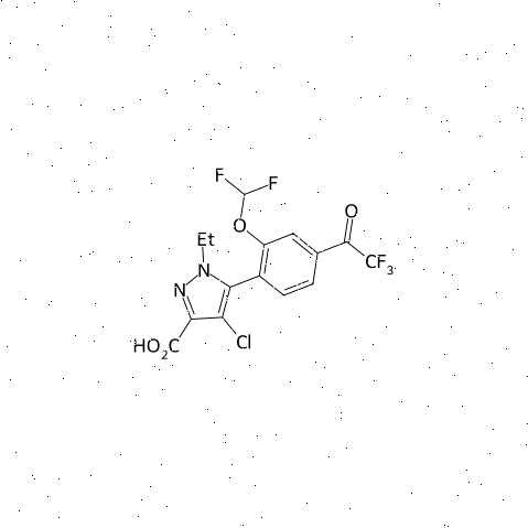 CCn1nc(C(=O)O)c(Cl)c1-c1ccc(C(=O)C(F)(F)F)cc1OC(F)F